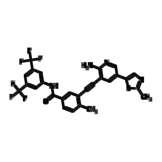 Cc1ncc(-c2cnc(N)c(C#Cc3cc(C(=O)Nc4cc(C(F)(F)F)cc(C(F)(F)F)c4)ccc3C)c2)s1